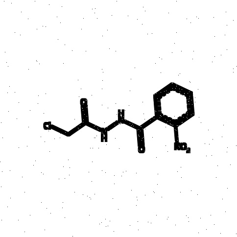 O=C(CCl)NNC(=O)c1ccccc1[N+](=O)[O-]